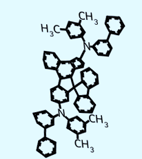 Cc1cc(C)cc(N(c2cccc(-c3ccccc3)c2)c2ccc3c(c2)C2(c4ccccc4-c4ccccc42)c2c-3c3ccccc3c3cc(N(c4cc(C)cc(C)c4)c4cccc(-c5ccccc5)c4)ccc23)c1